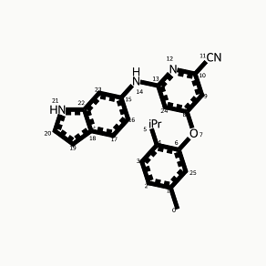 Cc1ccc(C(C)C)c(Oc2cc(C#N)nc(Nc3ccc4cc[nH]c4c3)c2)c1